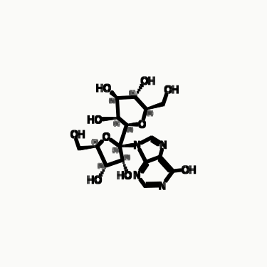 OC[C@H]1O[C@@H]([C@@]2(n3cnc4c(O)ncnc43)O[C@H](CO)[C@@H](O)[C@H]2O)[C@@H](O)[C@@H](O)[C@@H]1O